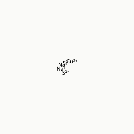 [Cu+2].[Na+].[Na+].[S-2].[S-2]